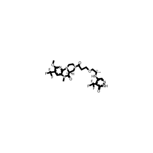 COc1nc2c(cc1C(F)(F)F)N(C)C(=O)[C@@H]1CN(C(=O)CCOC[C@H](C)Nc3cn[nH]c(=O)c3C(F)(F)F)CCN21